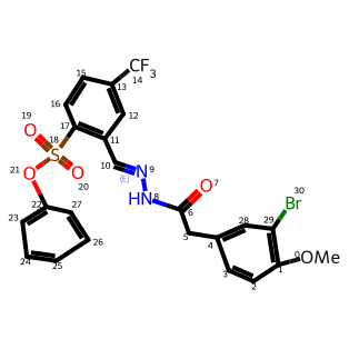 COc1ccc(CC(=O)N/N=C/c2cc(C(F)(F)F)ccc2S(=O)(=O)Oc2ccccc2)cc1Br